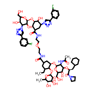 CCC1CC(C(=O)NCCOCCNC(=O)C2CC(n3cc(-c4cccc(F)c4)nn3)C(O)[C@H](O[C@@H]3OC(CO)[C@H](O)C(n4cc(-c5cccc(F)c5)nn4)C3O)C2)C[C@@H](O[C@@H]2OC(CO)[C@H](O)C(O[C@@H](CC3CCCCC3)C(=O)N3CCC3)C2NC(C)=O)C1O[C@@H]1OC(C)[C@@H](O)C(O)C1O